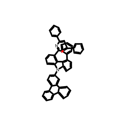 c1ccc(-c2cc(-c3ccccc3)nc(-c3cccc4c3c3c(-c5ccccc5)cccc3n4-c3ccc4c5ccccc5c5ccccc5c4c3)n2)cc1